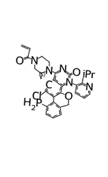 C=CC(=O)N1CCN(c2nc(=O)n(-c3cccnc3C(C)C)c3c4c(c(Cl)cc23)-c2c(P)cccc2CO4)[C@@H](C)C1